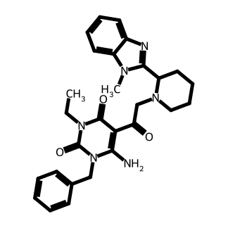 CCn1c(=O)c(C(=O)CN2CCCCC2c2nc3ccccc3n2C)c(N)n(Cc2ccccc2)c1=O